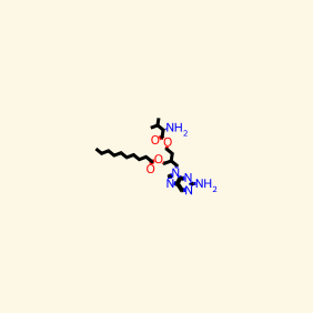 CCCCCCCCCC(=O)OCC(CCOC(=O)[C@@H](N)C(C)C)Cn1cnc2cnc(N)nc21